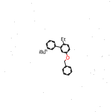 CCc1ccc(OCc2ccccc2)cc1-c1cccc([C@H](C)CC)c1